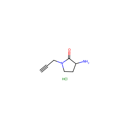 C#CCN1CCC(N)C1=O.Cl